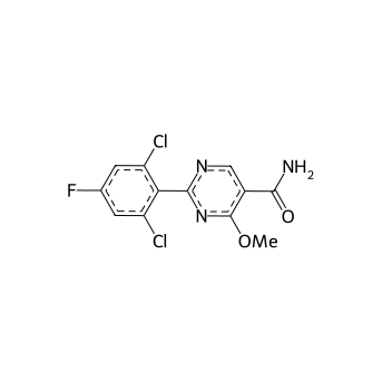 COc1nc(-c2c(Cl)cc(F)cc2Cl)ncc1C(N)=O